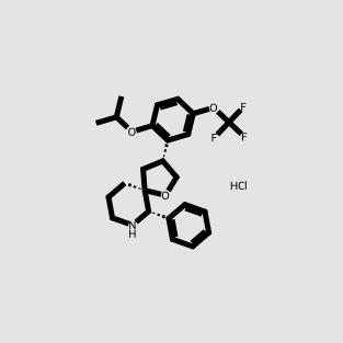 CC(C)Oc1ccc(OC(F)(F)F)cc1[C@@H]1CO[C@]2(CCCN[C@H]2c2ccccc2)C1.Cl